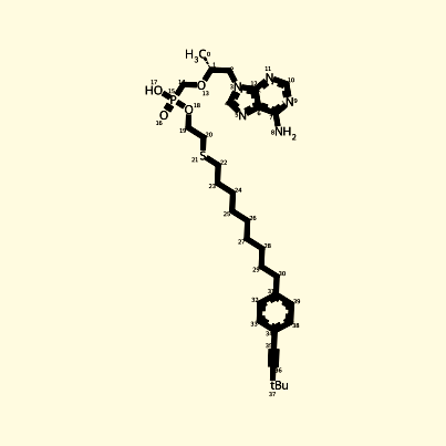 C[C@H](Cn1cnc2c(N)ncnc21)OCP(=O)(O)OCCSCCCCCCCCCc1ccc(C#CC(C)(C)C)cc1